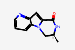 C[C@H]1Cn2c(cc3ncccc32)C(=O)N1